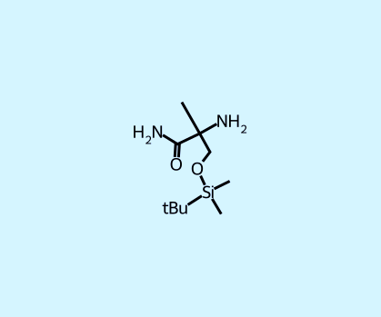 CC(N)(CO[Si](C)(C)C(C)(C)C)C(N)=O